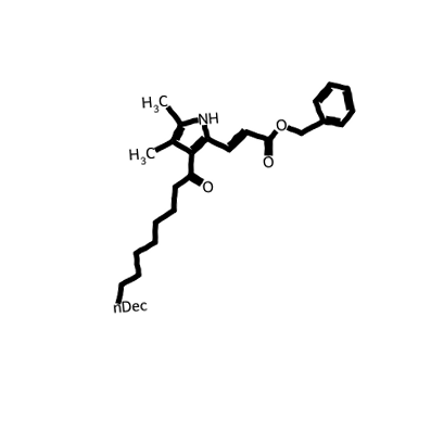 CCCCCCCCCCCCCCCCCC(=O)c1c(C=CC(=O)OCc2ccccc2)[nH]c(C)c1C